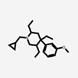 CCC1CC(CC)(c2cccc(OC)c2)C(CC)CN1CC1CC1